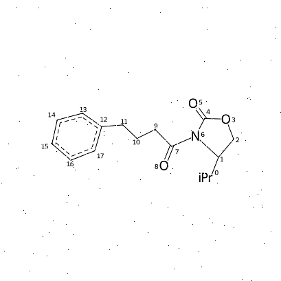 CC(C)C1COC(=O)N1C(=O)CCCc1ccccc1